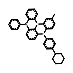 Cc1ccc2c(c1)B1c3ccccc3N(c3ccccc3)c3cccc(c31)N2c1ccc(C2CCCCC2)cc1